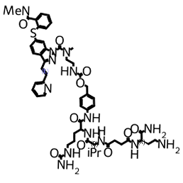 CNC(=O)c1ccccc1Sc1ccc2c(/C=C/c3ccccn3)nn(C(=O)N(C)CCNC(=O)OCc3ccc(NC(=O)C(CCCNC(N)=O)NC(=O)[C@H](NC(=O)CCC(=O)N[C@H](CCN)C(N)=O)C(C)C)cc3)c2c1